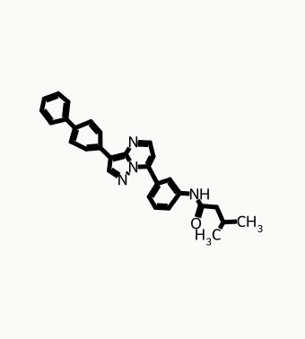 CC(C)CC(=O)Nc1cccc(-c2ccnc3c(-c4ccc(-c5ccccc5)cc4)cnn23)c1